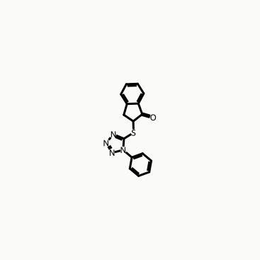 O=C1c2ccccc2CC1Sc1nnnn1-c1ccccc1